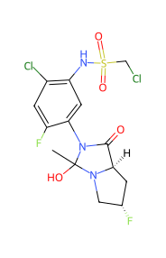 CC1(O)N(c2cc(NS(=O)(=O)CCl)c(Cl)cc2F)C(=O)[C@H]2C[C@H](F)CN21